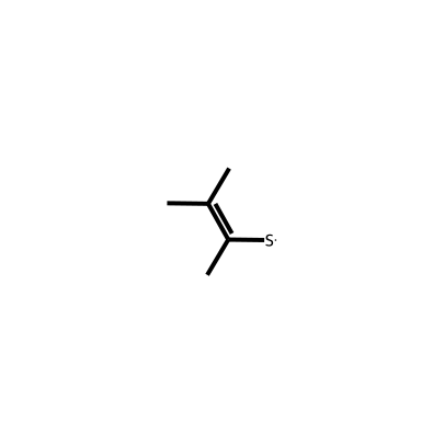 CC(C)=C(C)[S]